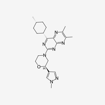 Cc1nc2nc(N3CCO[C@H](c4cnn(C)c4)C3)nc([C@H]3CC[C@@H](C)CC3)c2nc1C